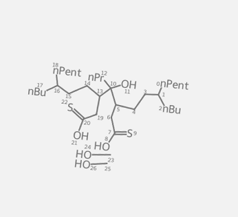 CCCCCC(CCCC)CCC(CC(O)=S)C(O)(CCC)C(CCC(CCCC)CCCCC)CC(O)=S.CO.CO